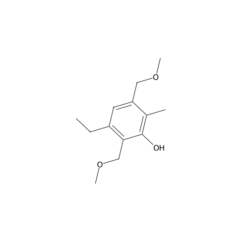 CCc1cc(COC)c(C)c(O)c1COC